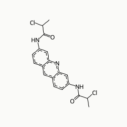 CC(Cl)C(=O)Nc1ccc2cc3ccc(NC(=O)C(C)Cl)cc3nc2c1